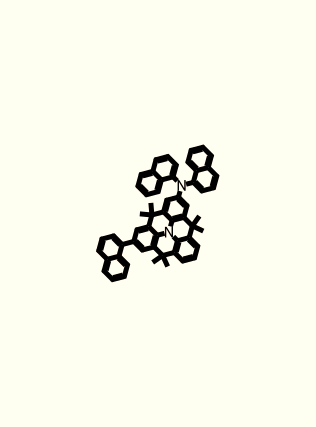 CC1(C)c2cccc3c2N2c4c1cc(-c1cccc5ccccc15)cc4C(C)(C)c1cc(N(c4cccc5ccccc45)c4cccc5ccccc45)cc(c12)C3(C)C